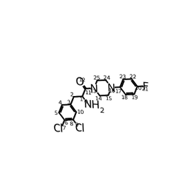 NC(Cc1ccc(Cl)c(Cl)c1)C(=O)N1CCN(c2ccc(F)cc2)CC1